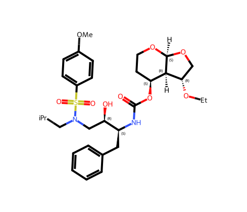 CCO[C@H]1CO[C@@H]2OCC[C@H](OC(=O)N[C@@H](Cc3ccccc3)[C@H](O)CN(CC(C)C)S(=O)(=O)c3ccc(OC)cc3)[C@@H]21